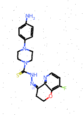 Nc1ccc(N2CCN(C(=S)N/N=C3/CCOc4c(F)ccnc43)CC2)cc1